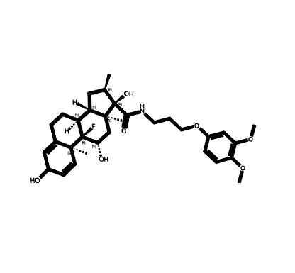 COc1ccc(OCCCNC(=O)[C@@]2(O)[C@H](C)C[C@H]3[C@@H]4CCC5=CC(O)C=C[C@]5(C)[C@@]4(F)[C@@H](O)C[C@@]32C)cc1OC